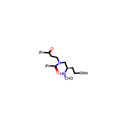 CSCC[C@H](CN(CCC(=O)C(C)C)C(=O)C(C)C)NC=O